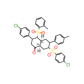 Cc1ccc(C2C[C@@H]3C(S(=O)(=O)c4ccccc4C)C(c4ccc(Cl)cc4)CC(=O)[C@@H]3CC2S(=O)(=O)c2ccc(Cl)cc2)cc1